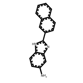 Nc1ccc2[nH]c(-c3ccc4ccccc4c3)nc2c1